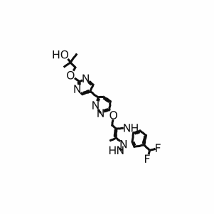 C/C(N=N)=C(\COc1ccc(-c2cnc(OCC(C)(C)O)nc2)nn1)Nc1ccc(C(F)F)cc1